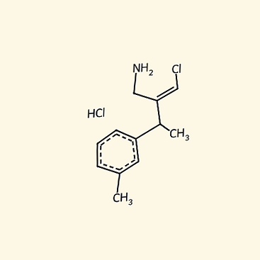 Cc1cccc(C(C)/C(=C/Cl)CN)c1.Cl